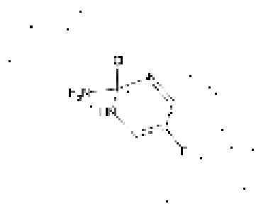 NC1(Cl)N=CC(F)=CN1